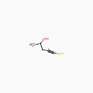 CC(O)CC#CS